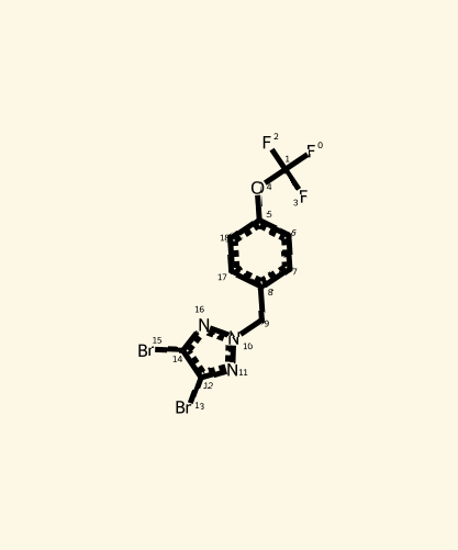 FC(F)(F)Oc1ccc(Cn2nc(Br)c(Br)n2)cc1